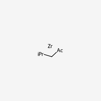 CC(=O)CC(C)C.[Zr]